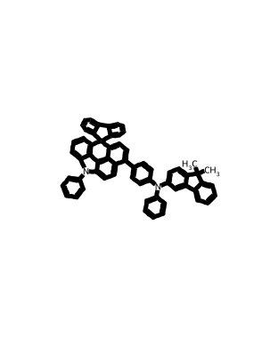 CC1(C)c2ccccc2-c2cc(N(c3ccccc3)c3ccc(-c4ccc5c6c4ccc4c6c6c(cccc6n4-c4ccccc4)C54c5ccccc5-c5ccccc54)cc3)ccc21